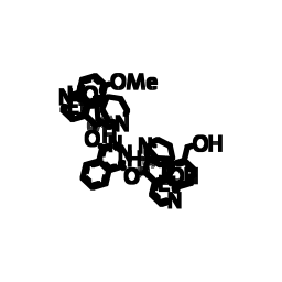 CCC1(O)CCN2CCC1C[C@@H]2[C@H](Oc1nnc(O[C@@H](c2ccnc3ccc(OC)cc23)[C@H]2CC3CCN2CCC3(O)CC)c2ccccc12)c1ccnc2ccc(CO)cc12